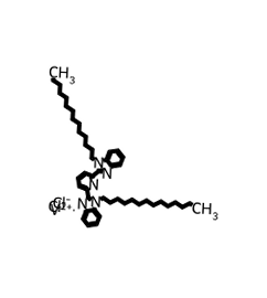 CCCCCCCCCCCCCCn1c(-c2cccc(-c3nc4ccccc4n3CCCCCCCCCCCCCC)n2)nc2ccccc21.[Cl-].[Cl-].[V+2]